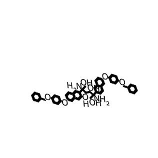 NC(CO)(c1ccc2cc(Oc3ccc(OCc4ccccc4)cc3)ccc2c1)C(O)C(O)C(N)(CO)c1ccc2cc(Oc3ccc(OCc4ccccc4)cc3)ccc2c1